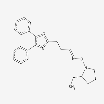 CCC1CCCN1ON=CCCc1nc(-c2ccccc2)c(-c2ccccc2)o1